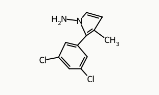 Cc1ccn(N)c1-c1cc(Cl)cc(Cl)c1